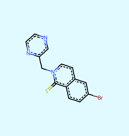 S=c1c2ccc(Br)cc2ccn1Cc1cnccn1